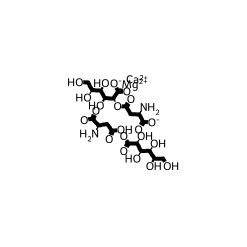 N[C@@H](CC(=O)O)C(=O)[O-].N[C@@H](CC(=O)O[C@@H](C(=O)[O-])[C@@H](O)[C@H](O)[C@H](O)CO)C(=O)[O-].O=C([O-])[C@H](O)[C@@H](O)[C@H](O)[C@H](O)CO.[Ca+2].[Mg+2]